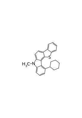 Cn1c2cccc(C3CCCCC3)c2c2c3sc4ccccc4c3ccc21